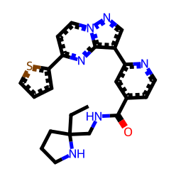 CCC1(CNC(=O)c2ccnc(-c3cnn4ccc(-c5cccs5)nc34)c2)CCCN1